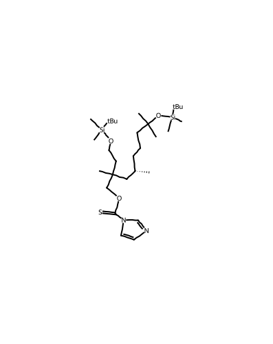 C[C@@H](CCCC(C)(C)O[Si](C)(C)C(C)(C)C)CC(C)(CCO[Si](C)(C)C(C)(C)C)COC(=S)n1ccnc1